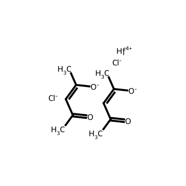 CC(=O)/C=C(/C)[O-].CC(=O)/C=C(/C)[O-].[Cl-].[Cl-].[Hf+4]